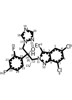 CCc1c2cc(Cl)cc(Cl)c2nn1[C@H](C)[C@](O)(Cn1cncn1)c1ccc(F)cc1F